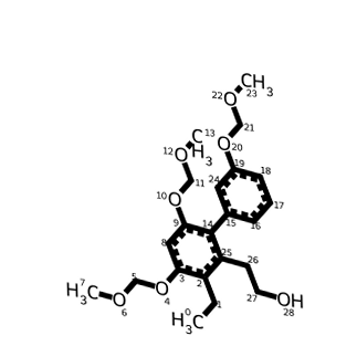 CCc1c(OCOC)cc(OCOC)c(-c2cccc(OCOC)c2)c1CCO